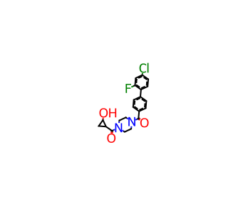 O=C(c1ccc(-c2ccc(Cl)cc2F)cc1)N1CCN(C(=O)C2CC2O)CC1